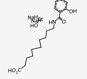 CCO.O=C(O)CCCCCCCCCNC(=O)c1ccccc1O.[NaH].[NaH]